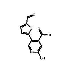 O=Cc1ccc(-c2cnc(O)cc2C(=O)O)s1